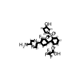 Nc1cnc(-c2ccc(-c3ccccc3S(=O)(=O)N3CC[C@@H](O)C3)cc2F)cn1.O=C(O)C(F)(F)F